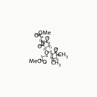 COC(=O)CCO[C@H](CC1CC(=O)N(CCC(=O)OC)C(=O)C1)C1C[C@@H](C)CC(C)C1=O